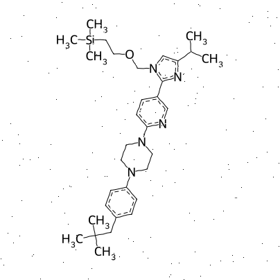 CC(C)c1cn(COCC[Si](C)(C)C)c(-c2ccc(N3CCN(c4ccc(CC(C)(C)C)cc4)CC3)nc2)n1